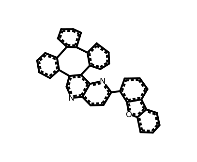 c1ccc2c(c1)-c1ccccc1-c1cnc3ccc(-c4cccc5c4oc4ccccc45)nc3c1-c1ccccc1-2